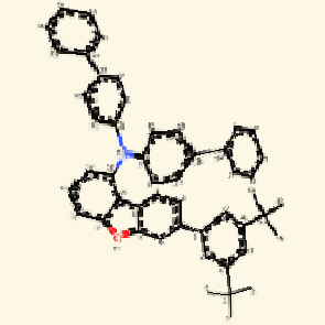 CC(C)(C)c1cc(-c2ccc3c(c2)oc2cccc(N(c4ccc(-c5ccccc5)cc4)c4ccc(-c5ccccc5)cc4)c23)cc(C(C)(C)C)c1